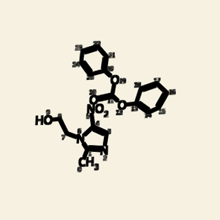 Cc1ncc([N+](=O)[O-])n1CCO.O=C(Oc1ccccc1)Oc1ccccc1